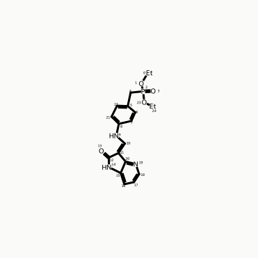 CCOP(=O)(Cc1ccc(NC=C2C(=O)Nc3cccnc32)cc1)OCC